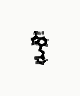 O=C(O)c1cnc2c(CCc3nnn[nH]3)cccn12